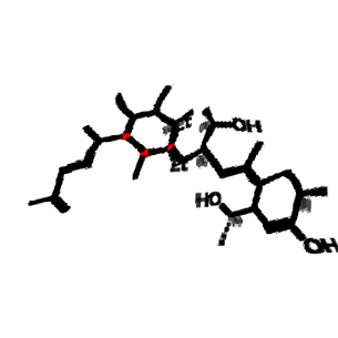 C=C(C)CCC(C)CCC(C[C@H](CC(C)C1C[C@@H](C)C(O)=CC1[C@H](C)O)[C@@H](C)O)[C@H](C)C(C)C(C)CC(C)C(CC)CC